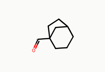 O=[C]C12CCCC(CC1)C2